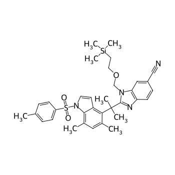 Cc1ccc(S(=O)(=O)n2ccc3c(C(C)(C)c4nc5ccc(C#N)cc5n4COCC[Si](C)(C)C)c(C)cc(C)c32)cc1